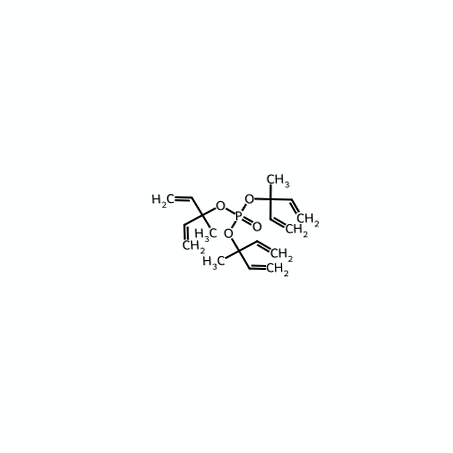 C=CC(C)(C=C)OP(=O)(OC(C)(C=C)C=C)OC(C)(C=C)C=C